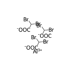 O=C([O-])C(Br)Br.O=C([O-])C(Br)Br.O=C([O-])C(Br)Br.[Al+3]